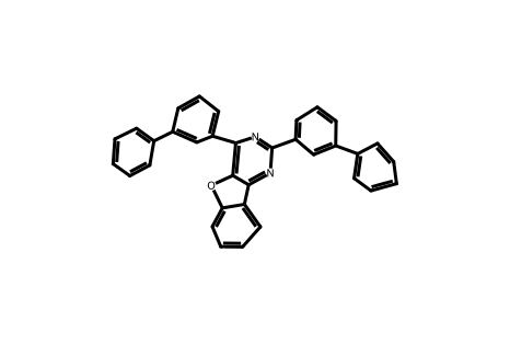 c1ccc(-c2cccc(-c3nc(-c4cccc(-c5ccccc5)c4)c4oc5ccccc5c4n3)c2)cc1